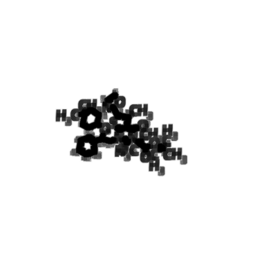 Cc1c(-c2ncco2)sc2c1c(=O)n(C(C)(C)C(=O)OC(C)(C)C)c(=O)n2CC(OC1CCC(C)(C)CC1)c1ccccc1